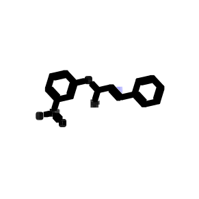 O=[N+]([O-])c1cccc(OC(Br)/C=C/c2ccccc2)c1